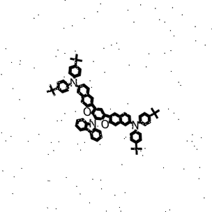 CC(C)(C)c1ccc(N(c2ccc(C(C)(C)C)cc2)c2ccc3cc4c(cc3c2)oc2c(-n3c5ccccc5c5ccccc53)c3oc5cc6cc(N(c7ccc(C(C)(C)C)cc7)c7ccc(C(C)(C)C)cc7)ccc6cc5c3cc24)cc1